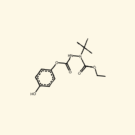 CCOC(=O)N(NC(=O)Oc1ccc(O)cc1)C(C)(C)C